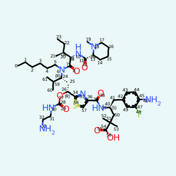 CCCCCCN(C(=O)[C@@H](NC(=O)[C@H]1CCCCN1C)[C@@H](C)CC)[C@H](C[C@@H](OC(=O)NCCN)c1nc(C(=O)N[C@@H](Cc2ccc(N)c(F)c2)CC(C)(C)C(=O)O)cs1)C(C)C